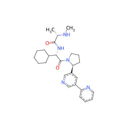 CN[C@@H](C)C(=O)N[C@H](C(=O)N1CCC[C@H]1c1cncc(-c2ccccn2)c1)C1CCCCC1